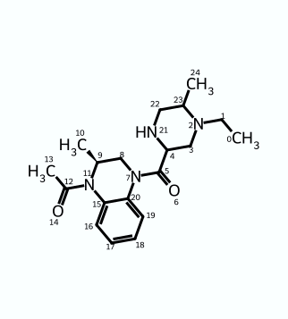 CCN1CC(C(=O)N2C[C@H](C)N(C(C)=O)c3ccccc32)NCC1C